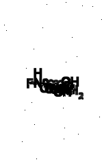 NC(=O)C1=C(O)CC2CC3Cc4ccc(CNCCF)c(O)c4C(=O)C3=C(O)C2[C@]1(O)CO